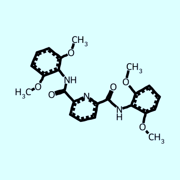 COc1cccc(OC)c1NC(=O)c1cccc(C(=O)Nc2c(OC)cccc2OC)n1